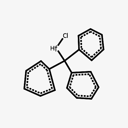 [Cl][Hf][C](c1ccccc1)(c1ccccc1)c1ccccc1